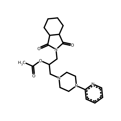 CC(=O)OC(CN1CCN(c2ccccn2)CC1)CN1C(=O)C2CCCCC2C1=O